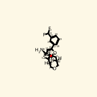 Nc1nc2c(s1)[C@@H]1COC[C@H](C2)N1c1ncc(-c2cccc(C(F)F)c2)o1